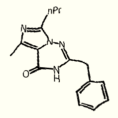 CCCc1nc(C)c2c(=O)[nH]c(Cc3ccccc3)nn12